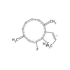 C=c1ccccc(=C)c(/C=C\C)c(C)c(F)c1